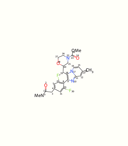 CNC(=O)Cc1cc(F)c(-c2nc3cc(C)ccn3c2CC2CN(C(=O)OC)CCO2)c(F)c1